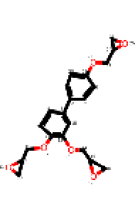 c1cc(-c2ccc(OCC3CO3)c(OCC3CO3)c2)ccc1OCC1CO1